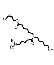 CCCCCC/C=C\COC(=O)CCCCCN(CCCCCC=O)C(=O)SCCCN(CC)CC